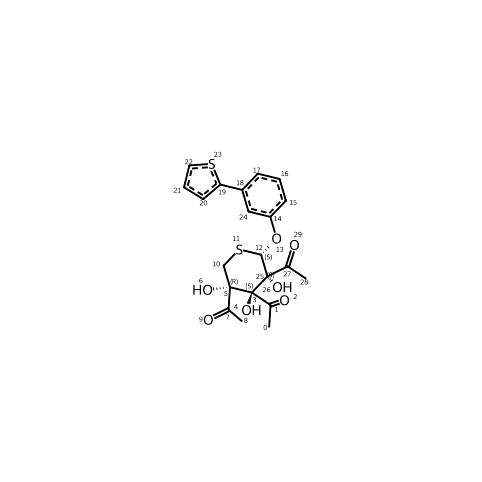 CC(=O)[C@]1(O)[C@@](O)(C(C)=O)CS[C@H](Oc2cccc(-c3cccs3)c2)[C@@]1(O)C(C)=O